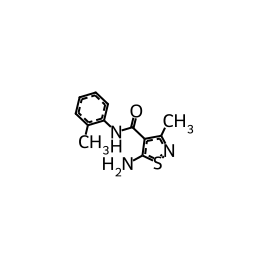 Cc1ccccc1NC(=O)c1c(C)nsc1N